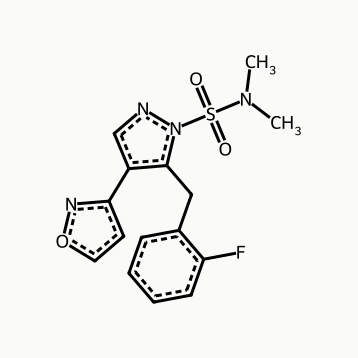 CN(C)S(=O)(=O)n1ncc(-c2ccon2)c1Cc1ccccc1F